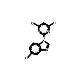 Clc1ccc2c(c1)N=C[SH]2c1nc(Cl)cc(Cl)n1